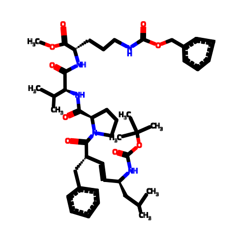 COC(=O)[C@H](CCCNC(=O)OCc1ccccc1)NC(=O)[C@@H](NC(=O)[C@H]1CCCN1C(=O)[C@H](/C=C/[C@H](CC(C)C)NC(=O)OC(C)(C)C)Cc1ccccc1)C(C)C